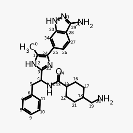 Cc1[nH]c(C(Cc2ccccc2)NC(=O)C2CCC(CN)CC2)nc1-c1ccc2c(N)n[nH]c2c1